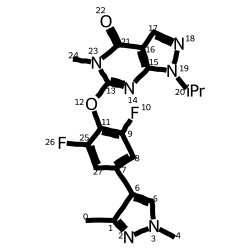 Cc1nn(C)cc1-c1cc(F)c(Oc2nc3c(cnn3C(C)C)c(=O)n2C)c(F)c1